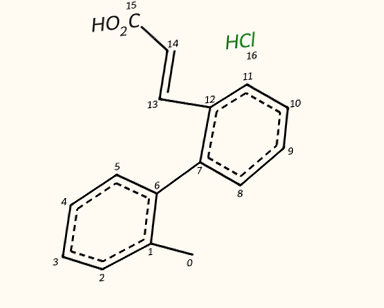 Cc1ccccc1-c1ccccc1C=CC(=O)O.Cl